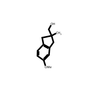 COc1ccc2c(c1)CC(C)(CO)C2